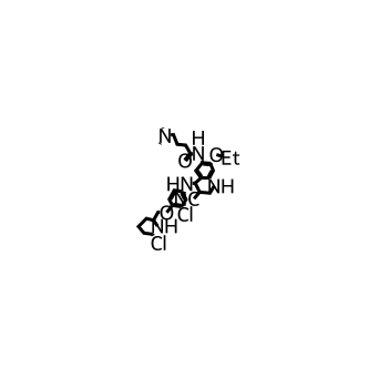 CCOc1cc2c(cc1NC(=O)CCCN(C)C)C(Nc1ccc(OCC3CCCC(Cl)N3)c(Cl)c1)C(C#N)CN2